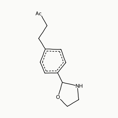 CC(=O)CCc1ccc(C2NCCO2)cc1